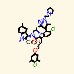 Cc1ccc2c(c1)c(N1C[C@@H](C)n3c(c(CCCOc4cc(C)c(Cl)c(C)c4)c4ccc(Cl)c(-c5c(C)nn(CCN6CCCC6)c5C)c43)C1=O)c(C(=O)O)n2C